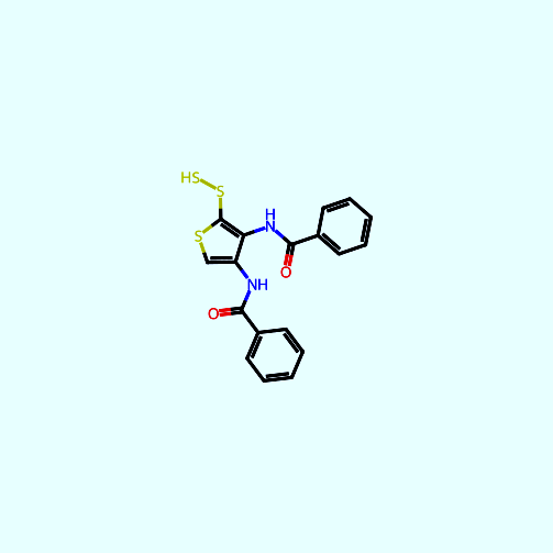 O=C(Nc1csc(SS)c1NC(=O)c1ccccc1)c1ccccc1